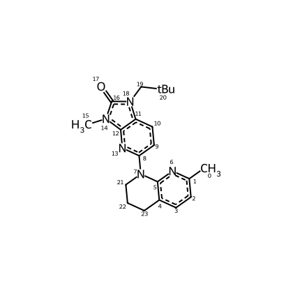 Cc1ccc2c(n1)N(c1ccc3c(n1)n(C)c(=O)n3CC(C)(C)C)CCC2